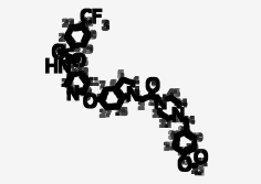 O=C(CN1CCc2cc(Oc3ccc(NS(=O)(=O)c4ccc(C(F)(F)F)cc4)cn3)ccc21)N1CCN(Cc2ccc3c(c2)OCO3)CC1